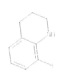 Ic1cccc2c1NCCC2